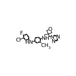 Cc1cc(Nc2ccc(F)c(Cl)c2)ccc1NCC1(Cn2cncn2)COC1